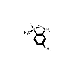 Cc1ccc([N+](C)(C)[O-])c(N)c1